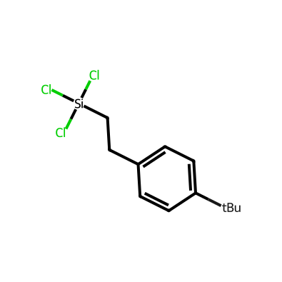 CC(C)(C)c1ccc(CC[Si](Cl)(Cl)Cl)cc1